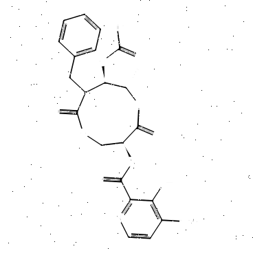 COc1ccnc(C(=O)N[C@H]2COC(=O)C(Cc3ccccc3)[C@@H](OC(=O)C(C)C)[C@H](C)OC2=O)c1O